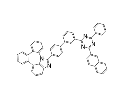 c1ccc(-c2nc(-c3cccc(-c4ccc(-c5nc6cccc7c6n5-c5ccccc5-c5ccccc5-7)cc4)c3)nc(-c3ccc4ccccc4c3)n2)cc1